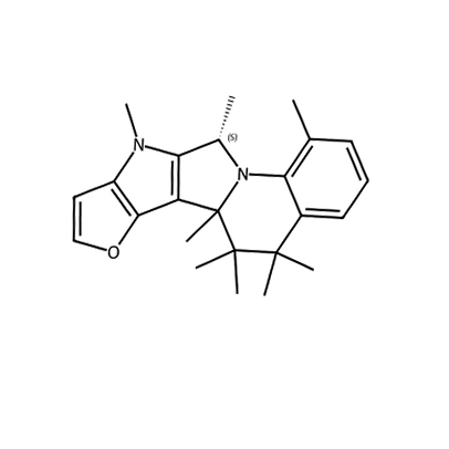 Cc1cccc2c1N1[C@@H](C)c3c(c4occc4n3C)C1(C)C(C)(C)C2(C)C